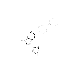 CCN(CC)C1CCC(c2cnc3c(c2)c(-c2cnn(C)c2)cn3S)CC1